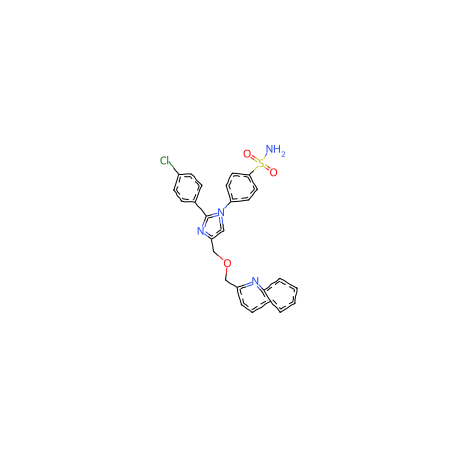 NS(=O)(=O)c1ccc(-n2cc(COCc3ccc4ccccc4n3)nc2-c2ccc(Cl)cc2)cc1